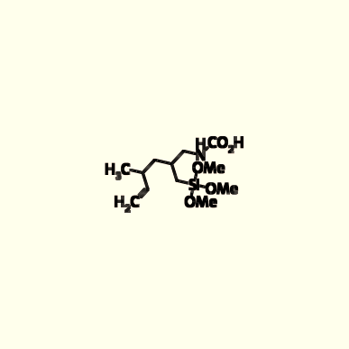 C=CC(C)CC(CNC(=O)O)C[Si](OC)(OC)OC